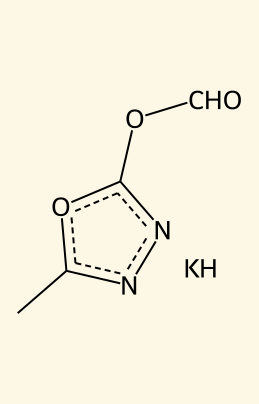 Cc1nnc(OC=O)o1.[KH]